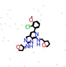 COc1cccc(-c2cc3cnc(N[C@H]4CCOC4)nc3c(NCC3CCCO3)n2)c1Cl